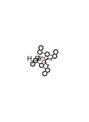 [CH3][Zr]([CH3])(=[SiH2])([CH]1C(CC2CC2)=Cc2c(-c3cccc4ccccc34)ccc(-c3cccc4ccccc34)c21)[CH]1C(CC2CC2)=Cc2c(-c3cccc4ccccc34)ccc(-c3cccc4ccccc34)c21